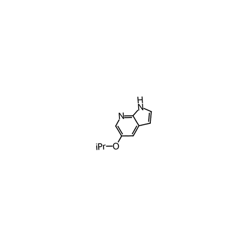 CC(C)Oc1cnc2[nH]ccc2c1